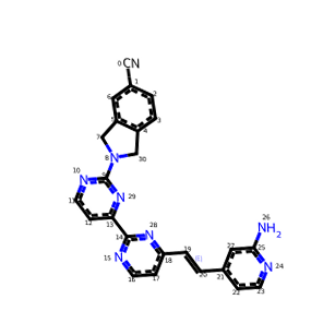 N#Cc1ccc2c(c1)CN(c1nccc(-c3nccc(/C=C/c4ccnc(N)c4)n3)n1)C2